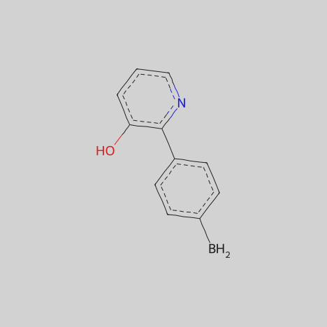 Bc1ccc(-c2ncccc2O)cc1